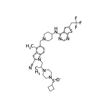 Cc1c(CN2CCC(Nc3ncnc4sc(CC(F)(F)F)cc34)CC2)ccc2c1cc(C#N)n2CC(C)N1CCN([S+]([O-])C2CCC2)CC1